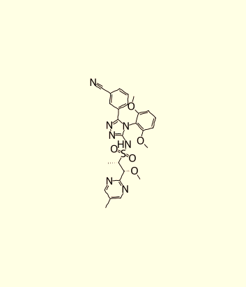 COc1cccc(OC)c1-n1c(NS(=O)(=O)[C@@H](C)[C@H](OC)c2ncc(C)cn2)nnc1-c1cccc(C#N)c1